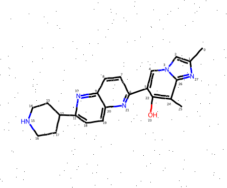 Cc1cn2cc(-c3ccc4nc(C5CCNCC5)ccc4n3)c(O)c(C)c2n1